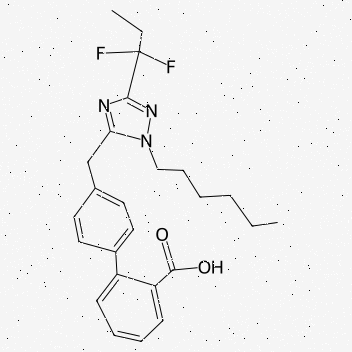 CCCCCCn1nc(C(F)(F)CC)nc1Cc1ccc(-c2ccccc2C(=O)O)cc1